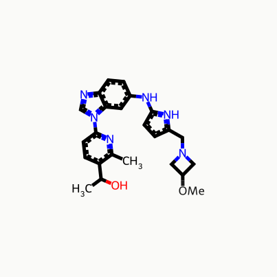 COC1CN(Cc2ccc(Nc3ccc4ncn(-c5ccc(C(C)O)c(C)n5)c4c3)[nH]2)C1